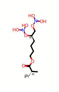 CC(C)[C@@H](C)C(=O)OCCCC[C@H](CON(O)O)ON(O)O